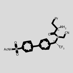 CC(=O)NS(=O)(=O)c1ccc(-c2ccc([C@H](N(CC#N)C(=O)[C@@H](N)CC(C)C)C(F)(F)F)cc2)cc1